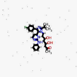 CC(=O)C[C@H](O)C[C@H](O)CCn1c(C(C)C)nc(-c2ccc(F)cc2)c1-c1ccnc(Nc2ccccc2)n1